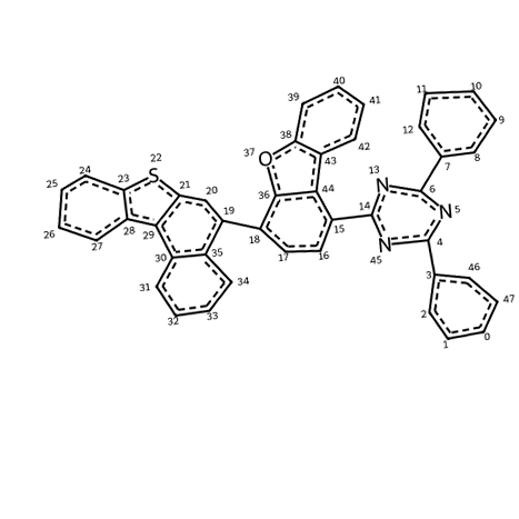 c1ccc(-c2nc(-c3ccccc3)nc(-c3ccc(-c4cc5sc6ccccc6c5c5ccccc45)c4oc5ccccc5c34)n2)cc1